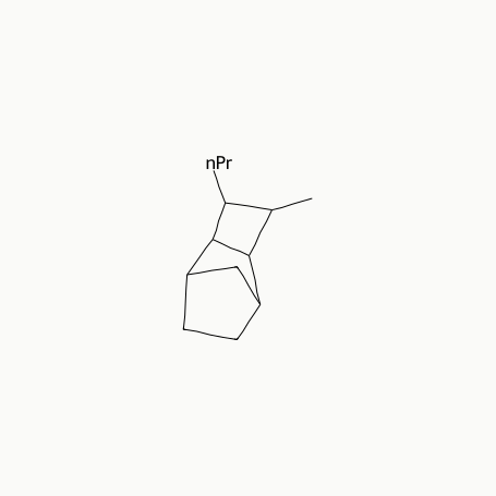 CCCC1C(C)C2C3CCC(C3)C12